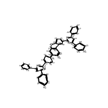 c1ccc(-c2cc(-c3ccccc3)nc(-c3ccc(-c4ccc5c(c4)sc4ccc(-c6nc(-c7ccccc7)cc(-c7ccccc7)n6)cc45)cc3)n2)cc1